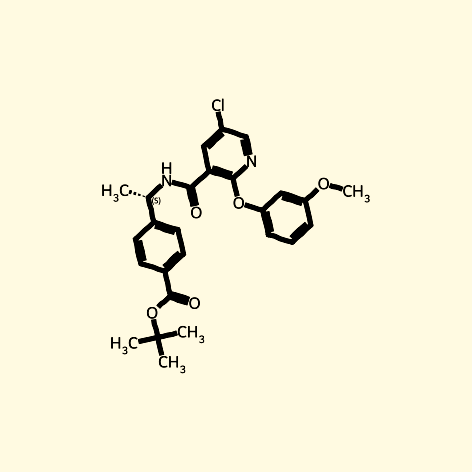 COc1cccc(Oc2ncc(Cl)cc2C(=O)N[C@@H](C)c2ccc(C(=O)OC(C)(C)C)cc2)c1